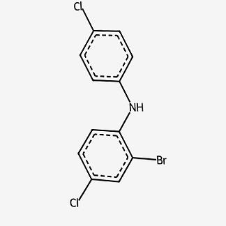 Clc1ccc(Nc2ccc(Cl)cc2Br)cc1